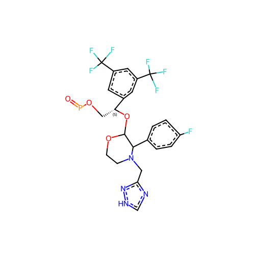 O=POC[C@@H](OC1OCCN(Cc2nc[nH]n2)C1c1ccc(F)cc1)c1cc(C(F)(F)F)cc(C(F)(F)F)c1